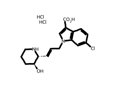 Cl.Cl.O=C(O)c1cn(C/C=C/[C@H]2NCCC[C@@H]2O)c2cc(Cl)ccc12